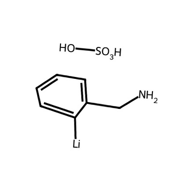 O=S(=O)(O)O.[Li][c]1ccccc1CN